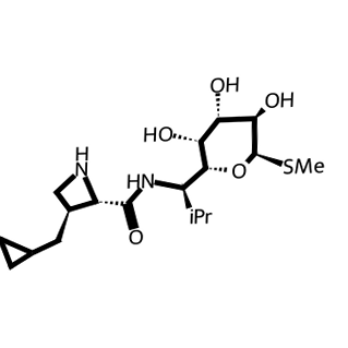 CS[C@H]1O[C@H]([C@H](NC(=O)[C@H]2NC[C@@H]2CC2CC2)C(C)C)[C@H](O)[C@H](O)[C@H]1O